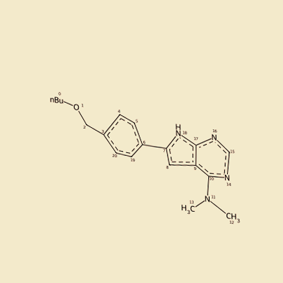 CCCCOCc1ccc(-c2cc3c(N(C)C)ncnc3[nH]2)cc1